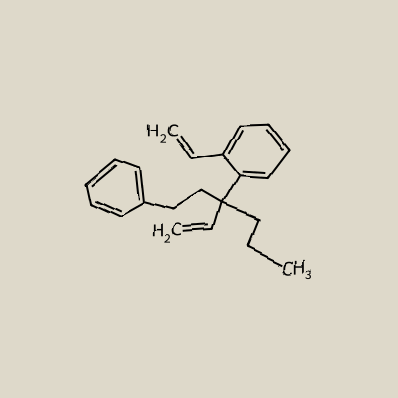 C=Cc1ccccc1C(C=C)(CCC)CCc1ccccc1